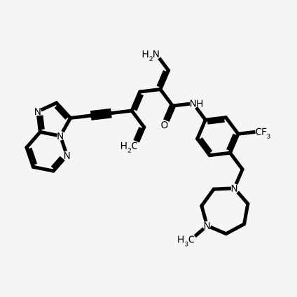 C=C/C(C#Cc1cnc2cccnn12)=C\C(=C/N)C(=O)Nc1ccc(CN2CCCN(C)CC2)c(C(F)(F)F)c1